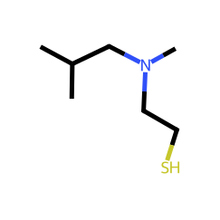 CC(C)CN(C)CCS